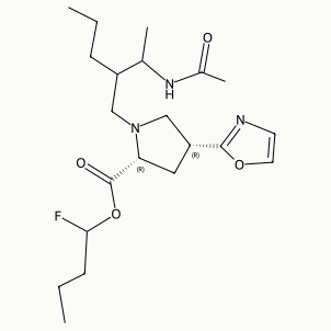 CCCC(F)OC(=O)[C@H]1C[C@@H](c2ncco2)CN1CC(CCC)C(C)NC(C)=O